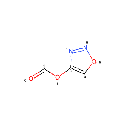 O=COc1conn1